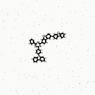 c1ccc(-c2nc(-c3ccc(-n4c5ccccc5c5ccccc54)cc3)nc(-c3ccc4c(c3)oc3ccc(-c5ccc6c(c5)oc5ccccc56)cc34)n2)cc1